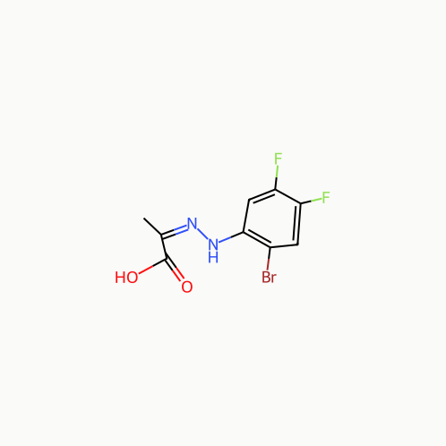 CC(=NNc1cc(F)c(F)cc1Br)C(=O)O